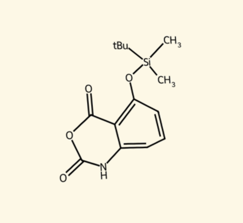 CC(C)(C)[Si](C)(C)Oc1cccc2[nH]c(=O)oc(=O)c12